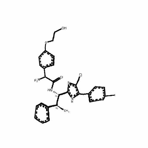 C[C@@H](c1ccccc1)[C@H](NC(=O)C(N)c1ccc(OCCO)cc1)c1nc(Cl)c(-c2ccc(I)cc2)[nH]1